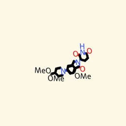 COc1cc(N2CCC(C(OC)OC)CC2)cc2c1C(=O)N(C1CCC(=O)NC1=O)C2